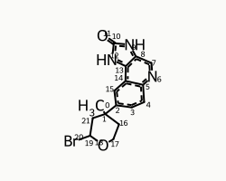 CC1(c2ccc3ncc4[nH]c(=O)[nH]c4c3c2)CCOC(Br)C1